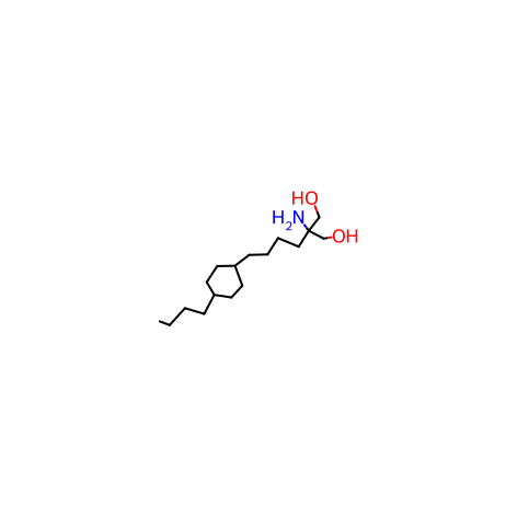 CCCCC1CCC(CCCCC(N)(CO)CO)CC1